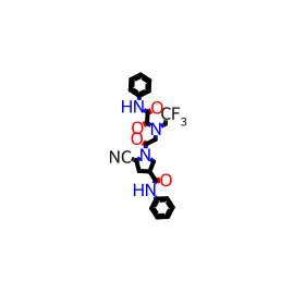 N#CC1CC(C(=O)Nc2ccccc2)CN1C(=O)CN(CC(F)(F)F)C(=O)C(=O)Nc1ccccc1